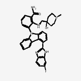 CN1CCC(O)(CNc2c(C(N)=O)cccc2-n2c3ccccc3c3c(-c4nc5ccc(F)cc5[nH]4)cccc32)CC1